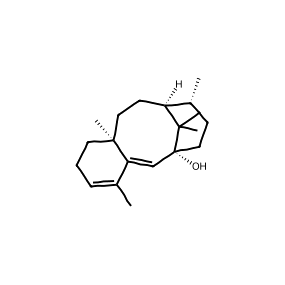 CC1=CCC[C@@]2(C)CC[C@H]3[C@H](C)CC[C@@](O)(/C=C/12)C3(C)C